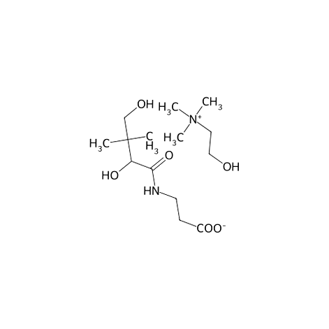 CC(C)(CO)C(O)C(=O)NCCC(=O)[O-].C[N+](C)(C)CCO